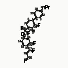 CCCc1ccc(-c2ccc(C(F)(F)Oc3ccc(/C(F)=C/CF)c(F)c3)c(F)c2F)cc1